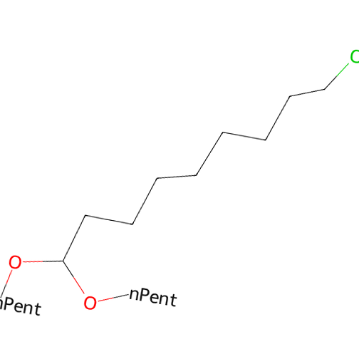 CCCCCOC(CCCCCCCCCl)OCCCCC